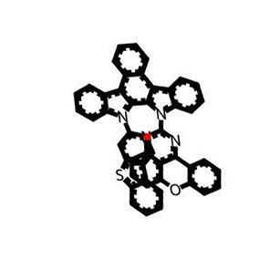 c1ccc2c(c1)Oc1cccc3nc(-n4c5ccccc5c5c6ccccc6c6c7ccccc7n(-c7ccc8c(c7)sc7ccccc78)c6c54)nc-2c13